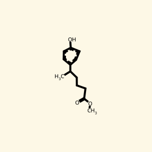 COC(=O)CCCC(C)c1ccc(O)cc1